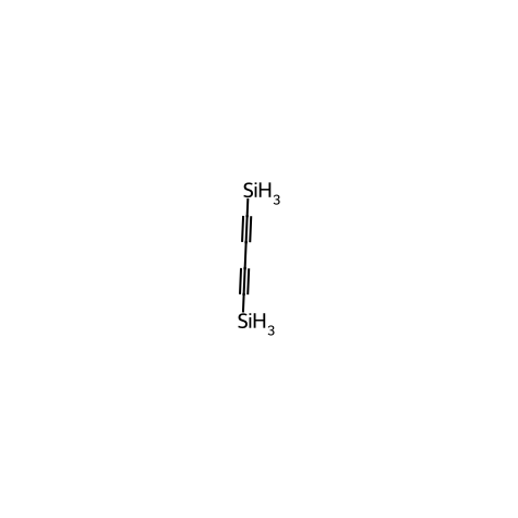 [SiH3]C#CC#C[SiH3]